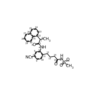 CC(C(=O)Nc1cc(C#N)ccc1CCCC(=O)NS(C)(=O)=O)c1cccc2ccccc12